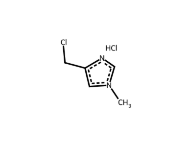 Cl.Cn1cnc(CCl)c1